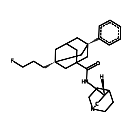 O=C(N[C@H]1CN2CCC1CC2)C12CC3C[C@](CCCF)(C1)C[C@@](c1ccccc1)(C3)C2